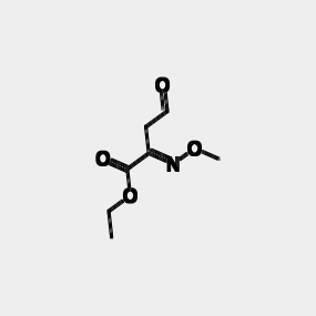 CCOC(=O)C(CC=O)=NOC